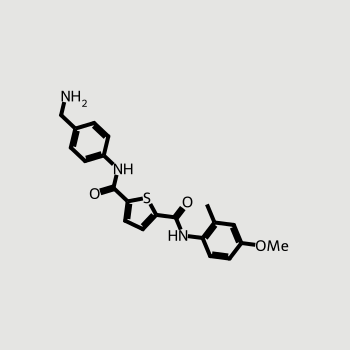 COc1ccc(NC(=O)c2ccc(C(=O)Nc3ccc(CN)cc3)s2)c(C)c1